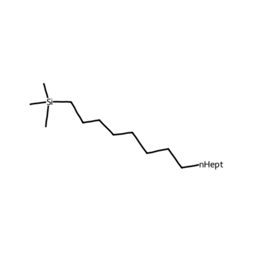 CCCCCCCCCCCCCCC[Si](C)(C)C